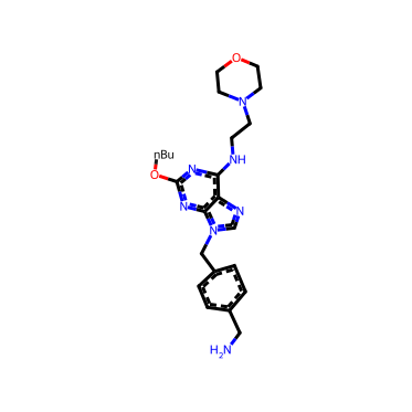 CCCCOc1nc(NCCN2CCOCC2)c2ncn(Cc3ccc(CN)cc3)c2n1